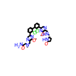 COc1nc(-c2cccc(-c3cccc(-c4cnc(CN(C)CC(N)=O)c(OC)n4)c3Cl)c2Cl)cnc1CNC[C@@H]1CCC(=O)N1